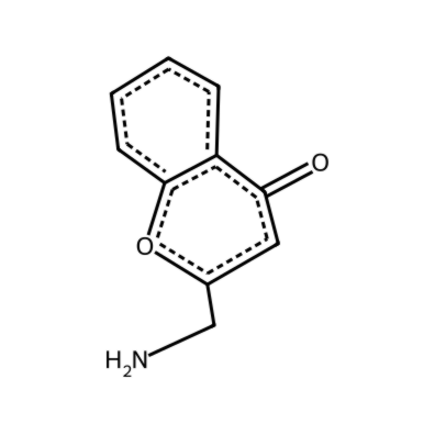 NCc1cc(=O)c2ccccc2o1